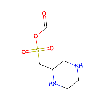 O=COS(=O)(=O)CC1CNCCN1